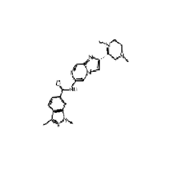 Cc1nn(C)c2cc(C(=O)Nc3cn4cc([C@H]5CN(C)CCN5C)nc4cn3)ccc12